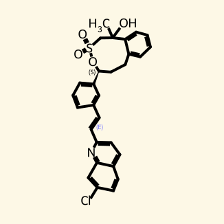 CC1(O)CS(=O)(=O)O[C@H](c2cccc(/C=C/c3ccc4ccc(Cl)cc4n3)c2)CCc2ccccc21